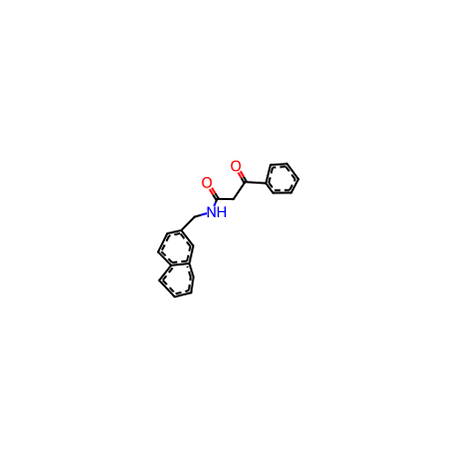 O=C(CC(=O)c1ccccc1)NCc1ccc2ccccc2c1